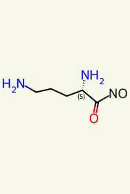 NCCC[C@H](N)C(=O)N=O